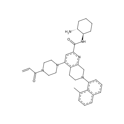 C=CC(=O)N1CCN(c2cc(C(=O)N[C@@H]3CCCC[C@H]3N)nc3c2CCN(c2cccc4cccc(C)c24)C3)CC1